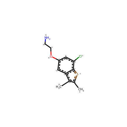 Cc1sc2c(Cl)cc(OCCN)cc2c1C